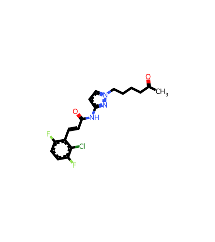 CC(=O)CCCCn1ccc(NC(=O)C=Cc2c(F)ccc(F)c2Cl)n1